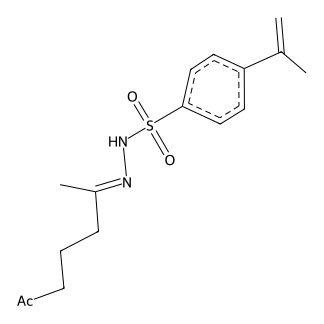 C=C(C)c1ccc(S(=O)(=O)N/N=C(\C)CCCC(C)=O)cc1